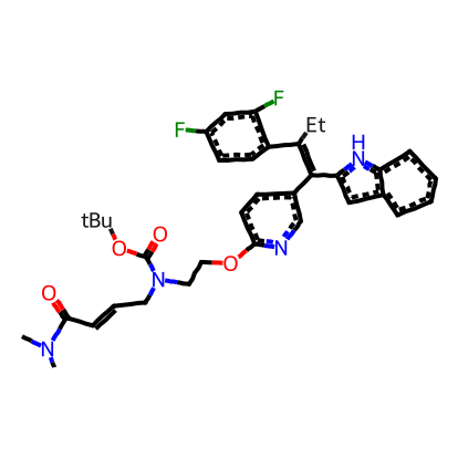 CC/C(=C(/c1ccc(OCCN(C/C=C/C(=O)N(C)C)C(=O)OC(C)(C)C)nc1)c1cc2ccccc2[nH]1)c1ccc(F)cc1F